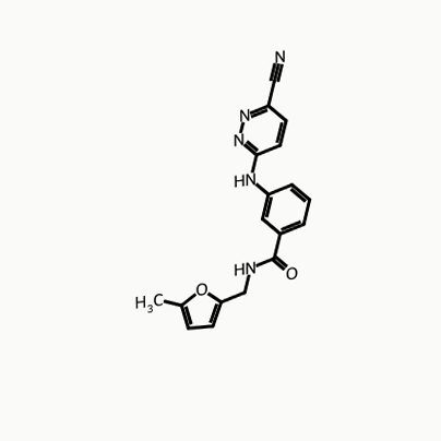 Cc1ccc(CNC(=O)c2cccc(Nc3ccc(C#N)nn3)c2)o1